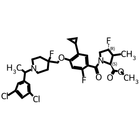 COC(=O)[C@@H]1C(C)[C@@H](F)CN1C(=O)c1cc(C2CC2)c(OCC2(F)CCN(C(C)c3cc(Cl)cc(Cl)c3)CC2)cc1F